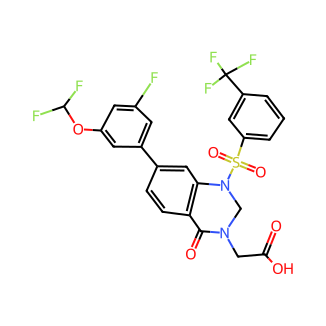 O=C(O)CN1CN(S(=O)(=O)c2cccc(C(F)(F)F)c2)c2cc(-c3cc(F)cc(OC(F)F)c3)ccc2C1=O